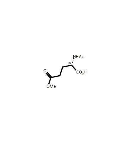 COC(=O)CC[C@H](NC(C)=O)C(=O)O